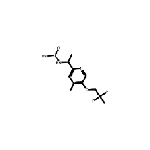 Cc1cc(C(C)N[S+]([O-])C(C)(C)C)ncc1OCC(C)(F)F